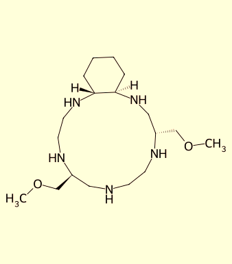 COC[C@H]1CN[C@@H]2CCCC[C@H]2NCCN[C@H](COC)CNCCN1